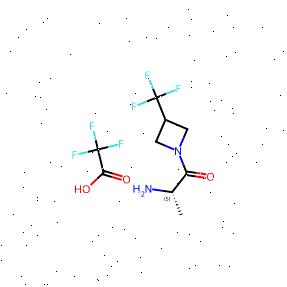 C[C@H](N)C(=O)N1CC(C(F)(F)F)C1.O=C(O)C(F)(F)F